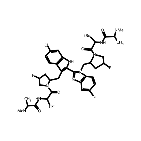 CCCC(NC(=O)C(C)NC)C(=O)N1CC(F)CC1Cc1c(-c2nc3cc(F)ccc3n2CC2CC(F)CN2C(=O)C(NC(=O)C(C)NC)C(C)(C)C)[nH]c2cc(Cl)ccc12